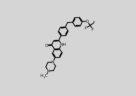 CN1CCN(c2ccc3[nH]c(-c4ccc(Cc5ccc(OC(F)(F)F)cc5)cc4)cc(=O)c3c2)CC1